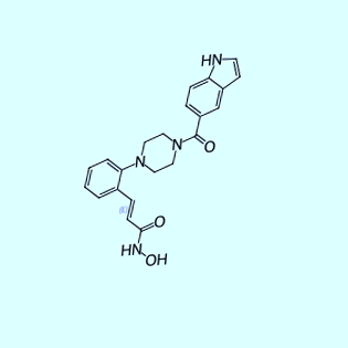 O=C(/C=C/c1ccccc1N1CCN(C(=O)c2ccc3[nH]ccc3c2)CC1)NO